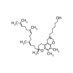 CC(C)=CCCC(C)=CCCC(C)=CCC[C@]1(C)CCc2c3c(c(C)c(C)c2O1)OCN(CCCCCCO)C3